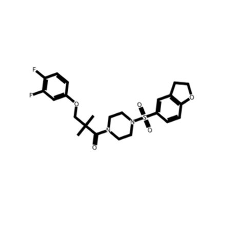 CC(C)(COc1ccc(F)c(F)c1)C(=O)N1CCN(S(=O)(=O)c2ccc3c(c2)CCO3)CC1